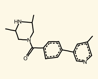 Cc1cncc(-c2ccc(C(=O)N3CC(C)NC(C)C3)cc2)c1